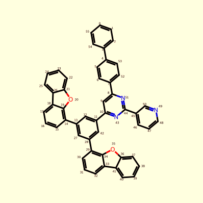 c1ccc(-c2ccc(-c3cc(-c4cc(-c5cccc6c5oc5ccccc56)cc(-c5cccc6c5oc5ccccc56)c4)nc(-c4cccnc4)n3)cc2)cc1